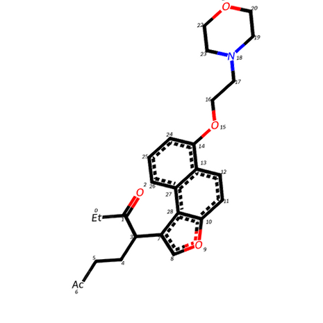 CCC(=O)C(CCC(C)=O)c1coc2ccc3c(OCCN4CCOCC4)cccc3c12